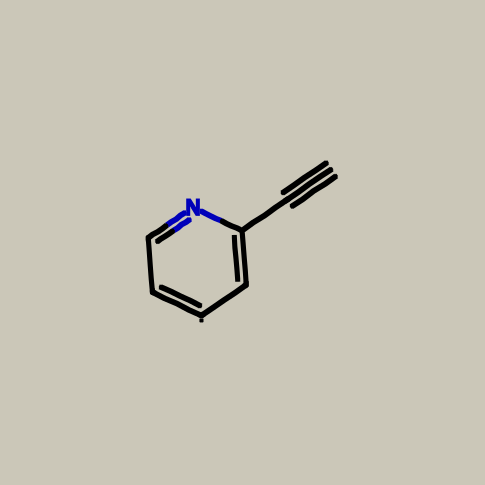 C#Cc1c[c]ccn1